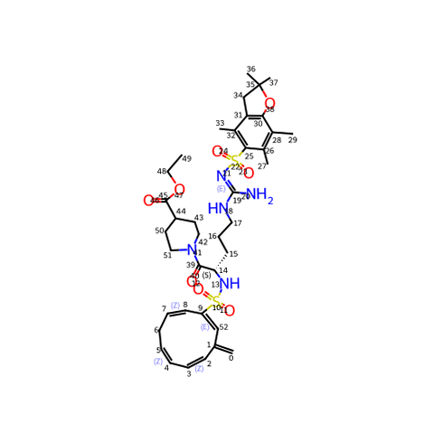 C=C1/C=C\C=C/C/C=C\C(S(=O)(=O)N[C@@H](CCCN/C(N)=N/S(=O)(=O)c2c(C)c(C)c3c(c2C)CC(C)(C)O3)C(=O)N2CCC(C(=O)OCC)CC2)=C/1